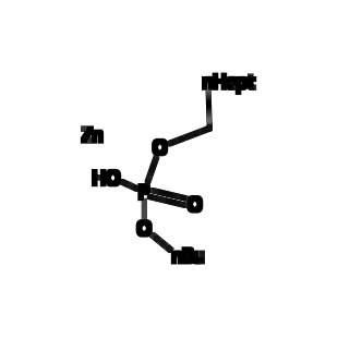 CCCCCCCCOP(=O)(O)OCCCC.[Zn]